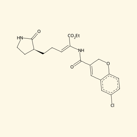 CCOC(=O)C(=CCC[C@H]1CCNC1=O)NC(=O)C1=Cc2cc(Cl)ccc2OC1